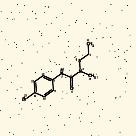 CCSN(C)C(=O)Nc1ccc(Br)cc1